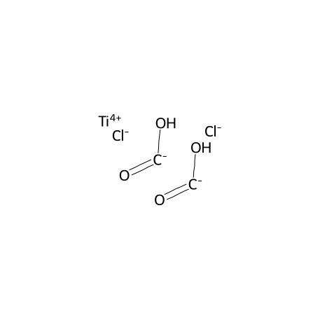 O=[C-]O.O=[C-]O.[Cl-].[Cl-].[Ti+4]